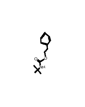 CC(C)(C)NC(=O)OCCc1ccccc1